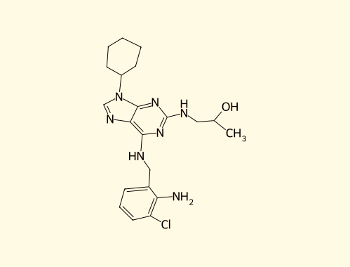 CC(O)CNc1nc(NCc2cccc(Cl)c2N)c2ncn(C3CCCCC3)c2n1